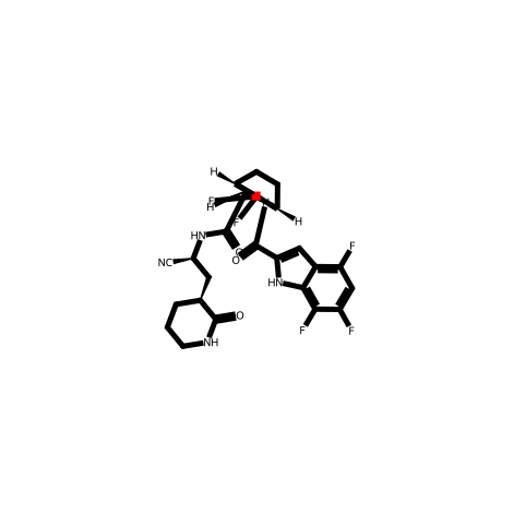 N#C[C@H](C[C@@H]1CCCNC1=O)NC(=O)[C@@H]1[C@@H]2CC[C@@H](CC2(F)F)N1C(=O)c1cc2c(F)cc(F)c(F)c2[nH]1